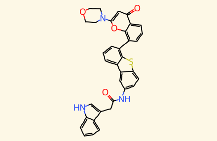 O=C(Cc1c[nH]c2ccccc12)Nc1ccc2sc3c(-c4cccc5c(=O)cc(N6CCOCC6)oc45)cccc3c2c1